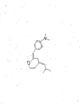 CC(C)[C]=C1C=COC(=Cc2ccc(N(C)C)cc2)C1